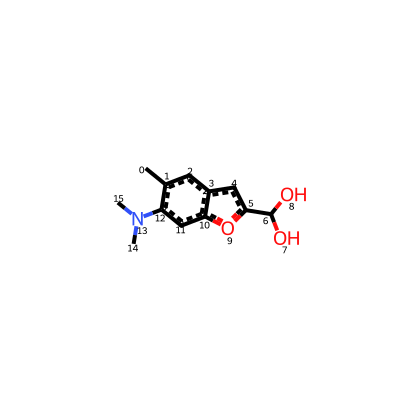 Cc1cc2cc(C(O)O)oc2cc1N(C)C